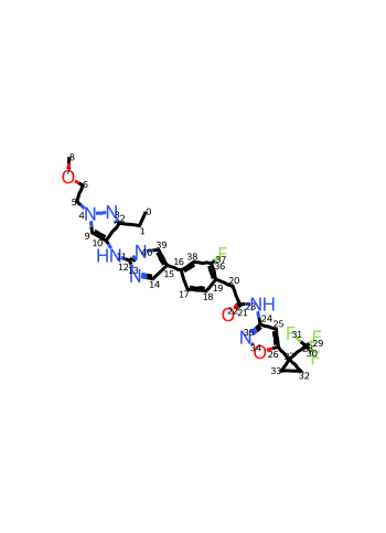 CCc1nn(CCOC)cc1Nc1ncc(-c2ccc(CC(=O)Nc3cc(C4(C(F)(F)F)CC4)on3)c(F)c2)cn1